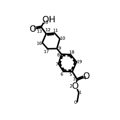 CCOC(=O)c1ccc(C2CC=C(C(=O)O)CC2)cc1